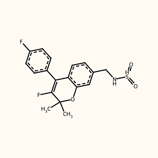 CC1(C)Oc2cc(CN[SH](=O)=O)ccc2C(c2ccc(F)cc2)=C1F